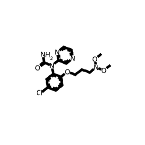 CON(CCCOc1ccc(Cl)cc1N(C(N)=O)c1cnccn1)OC